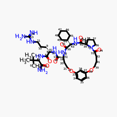 CC(C)(C)[C@H](NC(=O)[C@H](CCCNC(=N)N)NC(=O)[C@@H]1CCOc2cccc(c2)OCCCC(=O)N2CCC[C@H]2C(=O)N[C@@H](C2CCCCC2)C(=O)N1)C(N)=O